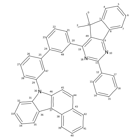 CC1(C)c2ccccc2-c2nc(-c3ccccc3)nc(-c3cccc(-c4cccc(-n5c6ccccc6c6c7ccccc7ccc65)c4)c3)c21